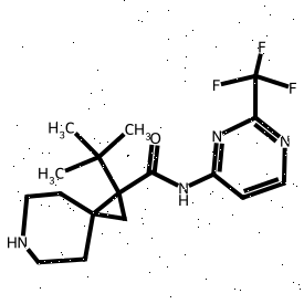 CC(C)(C)C1(C(=O)Nc2ccnc(C(F)(F)F)n2)CC12CCNCC2